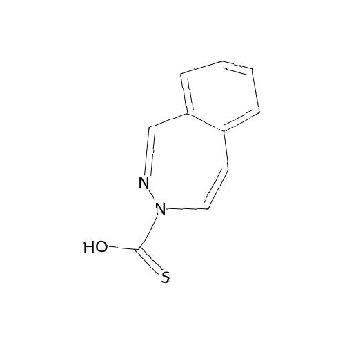 OC(=S)N1C=Cc2ccccc2C=N1